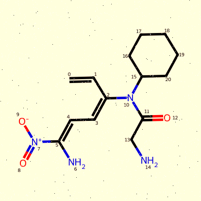 C=C/C(=C\C=C(/N)[N+](=O)[O-])N(C(=O)CN)C1CCCCC1